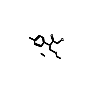 CC.CCOCN(C(=O)CCl)c1ccc(C)cc1